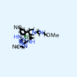 COCCN1CC(N2CCC(c3cc(C#N)cc(Nc4nc(NC5CC5)c5ncc(C#N)n5n4)c3Cl)CC2)C1